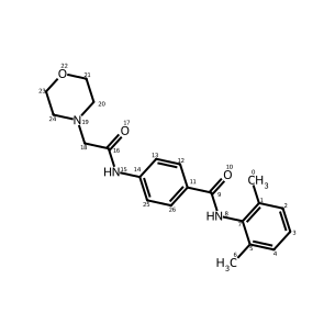 Cc1cccc(C)c1NC(=O)c1ccc(NC(=O)CN2CCOCC2)cc1